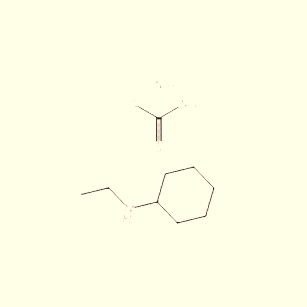 CCNC1CCCCC1.NC(=S)[S-].[Na+]